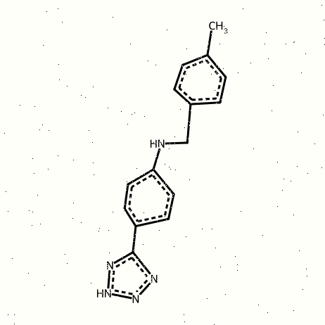 Cc1ccc(CNc2ccc(-c3nn[nH]n3)cc2)cc1